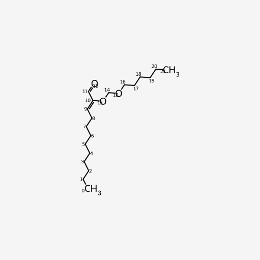 CCCCCCCCCC=C(C=O)OCOCCCCCC